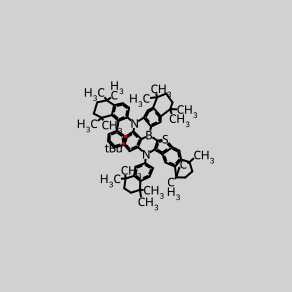 CC(C)(C)c1cc2c3c(c1)N(c1ccc4c(c1)C(C)(C)CCC4(C)C)c1c(sc4cc5c(cc14)C1(C)CCC5(C)CC1)B3c1cc3c(cc1N2c1ccc2c(c1-c1ccccc1)C(C)(C)CCC2(C)C)C(C)(C)CCC3(C)C